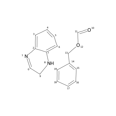 C1=Nc2ccccc2NC1.O=COCc1ccccc1